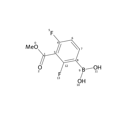 COC(=O)c1c(F)ccc(B(O)O)c1F